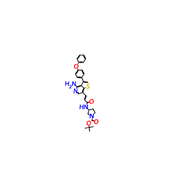 CC(C)(C)OC(=O)N1CCC(NC(=O)C=Cc2cnc(N)c3c(-c4ccc(Oc5ccccc5)cc4)csc23)C1